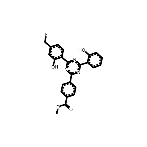 COC(=O)c1ccc(-c2nc(-c3ccccc3O)nc(-c3ccc(CF)cc3O)n2)cc1